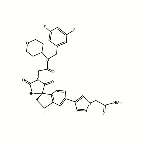 CNC(=O)Cn1cc(-c2ccc3c(c2)[C@H](F)C[C@]32NC(=O)N(CC(=O)N(Cc3cc(F)cc(F)c3)C3CCOCC3)C2=O)cn1